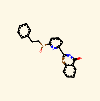 O=c1nc(-c2cccc([S+]([O-])CCc3ccccc3)n2)sc2ccccc12